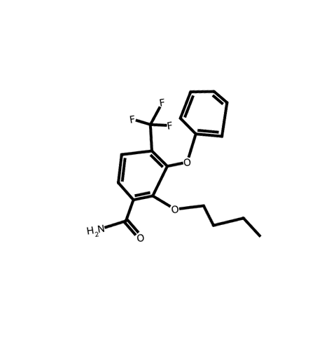 CCCCOc1c(C(N)=O)ccc(C(F)(F)F)c1Oc1ccccc1